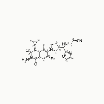 Cc1c(N2CC[C@@H](C(NCCC#N)c3ncco3)C2)c(F)cc2c(=O)n(N)c(=O)n(C3CC3)c12